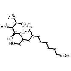 CCCCCCCCCCCCCCCCC(CC(CO)OC(=O)C(OC(C)=O)C(OC(C)=O)C(=O)O)C(=O)O